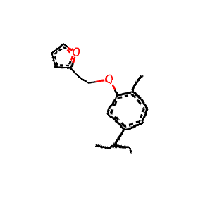 Cc1ccc(C(C)C)cc1OCc1ccco1